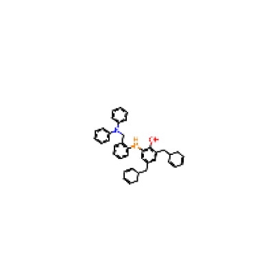 Oc1c(CC2C=CC=CC2)cc(CC2C=CC=CC2)cc1Pc1ccccc1CN(c1ccccc1)c1ccccc1